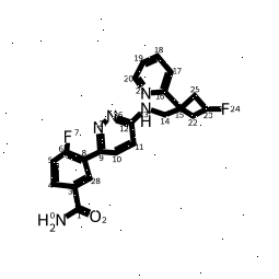 NC(=O)c1ccc(F)c(-c2ccc(NCC3(c4ccccn4)CC(F)C3)nn2)c1